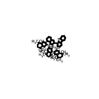 CC1(C)CCC(C)(C)c2cc(Nc3ccc4c(sc5ccccc54)c3-c3cc4ccccc4c4c3Bc3cc5c(cc3N4c3ccc4c(c3)C(C)(C)CCC4(C)C)C(C)(C)CCC5(C)C)ccc21